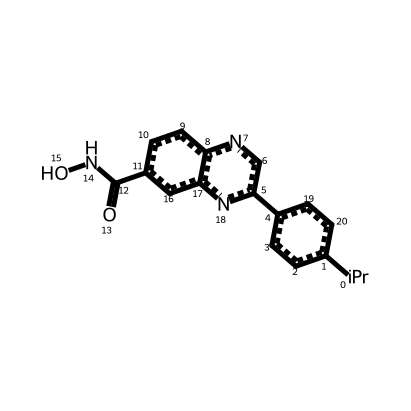 CC(C)c1ccc(-c2cnc3ccc(C(=O)NO)cc3n2)cc1